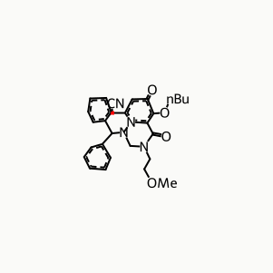 CCCCOc1c2n(c(CC#N)cc1=O)N(C(c1ccccc1)c1ccccc1)CN(CCOC)C2=O